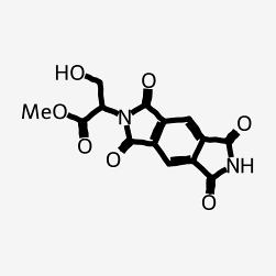 COC(=O)C(CO)n1c(=O)c2cc3c(=O)[nH]c(=O)c3cc2c1=O